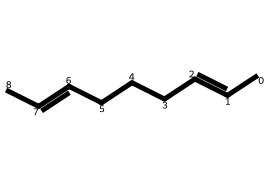 CC=CCCCC=CC